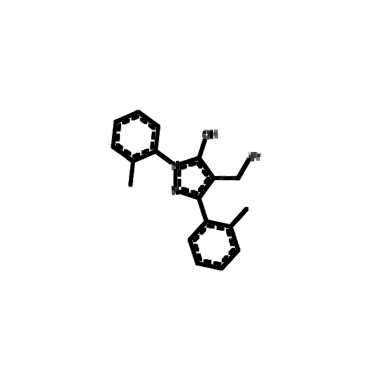 Cc1ccccc1-c1nn(-c2ccccc2C)c(O)c1CC(C)C